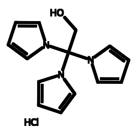 Cl.OCC(n1cccc1)(n1cccc1)n1cccc1